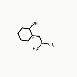 CN(C)C[C@H]1CCCCC1O